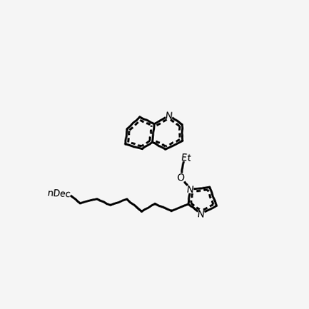 CCCCCCCCCCCCCCCCCc1nccn1OCC.c1ccc2ncccc2c1